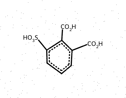 O=C(O)c1[c]ccc(S(=O)(=O)O)c1C(=O)O